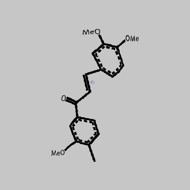 COc1cc(C(=O)/C=C/c2ccc(OC)c(OC)c2)ccc1C